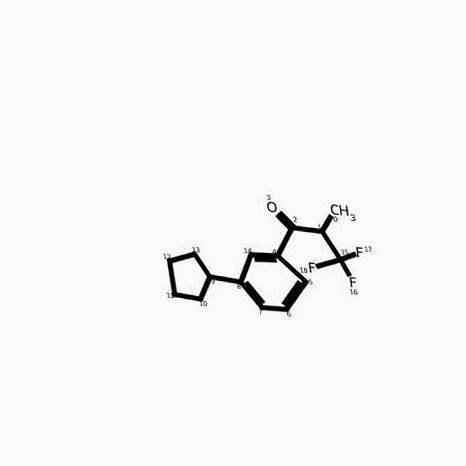 CC(C(=O)c1cccc(C2CCCC2)c1)C(F)(F)F